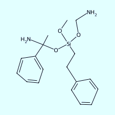 CO[Si](CCc1ccccc1)(OCN)OC(C)(N)c1ccccc1